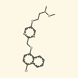 CON(C)CCOc1cnc(COc2ccc(Cl)c3ccccc23)nc1